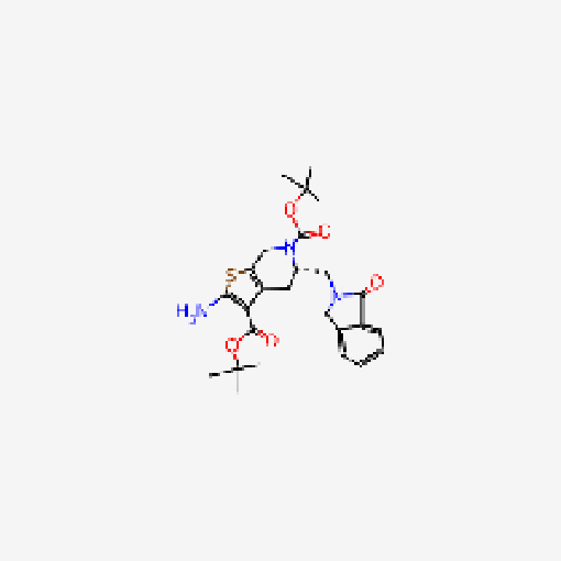 CC(C)(C)OC(=O)c1c(N)sc2c1C[C@@H](CN1Cc3ccccc3C1=O)N(C(=O)OC(C)(C)C)C2